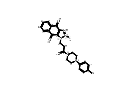 Cc1ccc(N2CCN(C(=O)CCn3c4c(n[n+]3[O-])C(=O)c3ccccc3C4=O)CC2)cc1